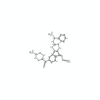 C=CCn1c2c(c3cc(C(=O)N4CCC(C)CC4)ccc31)CN(CC(C)c1ccccc1)CC2